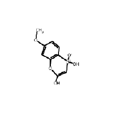 COc1ccc2c(c1)OC(O)=C[N+]2([O-])O